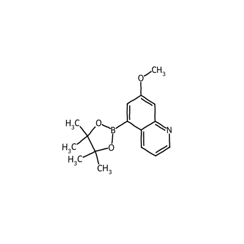 COc1cc(B2OC(C)(C)C(C)(C)O2)c2cccnc2c1